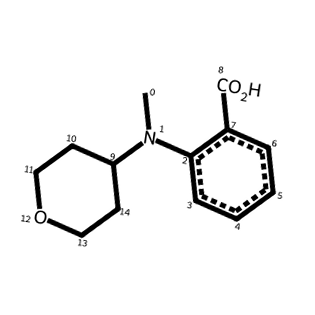 CN(c1ccccc1C(=O)O)C1CCOCC1